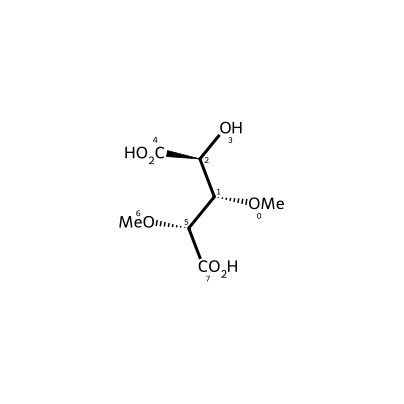 CO[C@@H]([C@H](O)C(=O)O)[C@@H](OC)C(=O)O